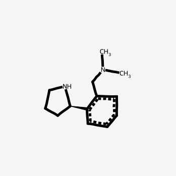 CN(C)Cc1ccccc1[C@H]1CCCN1